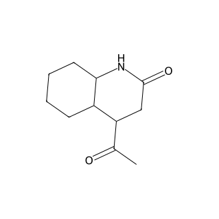 CC(=O)C1CC(=O)NC2CCCCC21